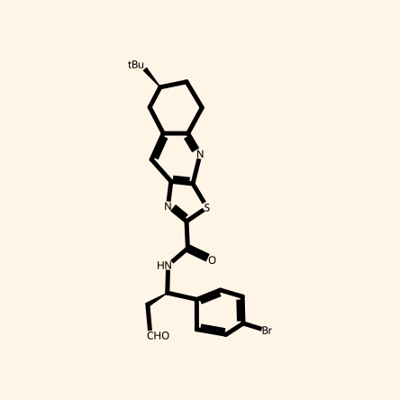 CC(C)(C)[C@H]1CCc2nc3sc(C(=O)N[C@H](CC=O)c4ccc(Br)cc4)nc3cc2C1